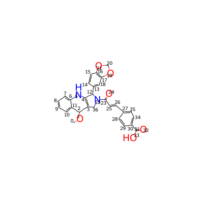 COC1C2=C(Nc3ccccc31)C(c1ccc3c(c1)OCO3)N(C(=O)/C=C/c1ccc(C(=O)O)cc1)C2